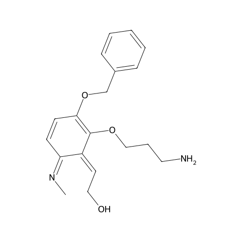 C/N=C1/C=CC(OCc2ccccc2)=C(OCCCN)/C1=C/CO